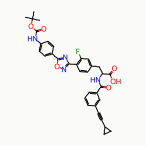 CC(C)(C)OC(=O)Nc1ccc(-c2nc(-c3ccc(CC(NC(=O)c4cccc(C#CC5CC5)c4)C(=O)O)cc3F)no2)cc1